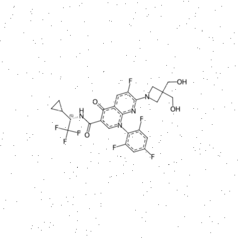 O=C(N[C@@H](C1CC1)C(F)(F)F)c1cn(-c2c(F)cc(F)cc2F)c2nc(N3CC(CO)(CO)C3)c(F)cc2c1=O